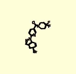 O=C(c1ccc(-n2ncc3cc(Br)ccc32)nc1)N1CCC(F)(F)CC1